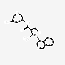 N#Cc1cncc(NC(=O)c2cnn(-c3cncc4ccccc34)c2C(F)(F)F)c1